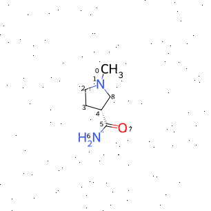 CN1CC[C@@H](C(N)=O)C1